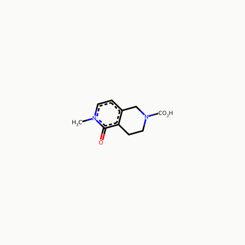 Cn1ccc2c(c1=O)CCN(C(=O)O)C2